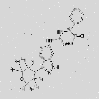 [2H]C1([2H])OC([2H])([2H])C([2H])([2H])N(c2n[nH]c3cc(NC(=O)N[C@@H](c4ccccc4)[C@@H](C)O)ncc23)C1([2H])[2H]